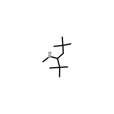 CNC(CC(C)(C)C)C(C)(C)C